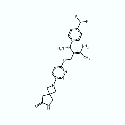 C/C(N)=C(\COc1ccc(N2CC3(CNC(=O)C3)C2)nn1)N(N)c1ccc(C(F)F)cc1